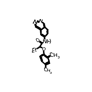 CCC(Oc1ccc(C)cc1C)C(=O)Nc1ccc2cnncc2c1